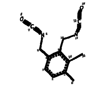 Cc1ccc(CN=C=O)c(CN=C=O)c1C